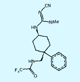 CN/C(=N\C#N)N[C@H]1CC[C@](CNC(=O)C(F)(F)F)(c2ccccc2)CC1